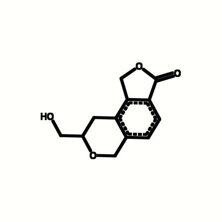 O=C1OCc2c1ccc1c2CC(CO)OC1